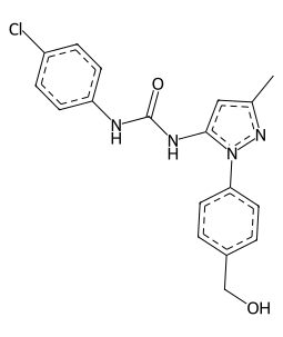 Cc1cc(NC(=O)Nc2ccc(Cl)cc2)n(-c2ccc(CO)cc2)n1